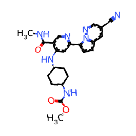 CNC(=O)c1cnc(-c2ccc3cc(C#N)cnn23)cc1N[C@H]1CC[C@H](NC(=O)OC)CC1